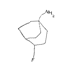 NC12CCC(F)C(CC1)CC2